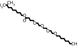 CCCCCCCCOCCOCCOCCOCCCC(=O)OCCCCCCCC(C)C